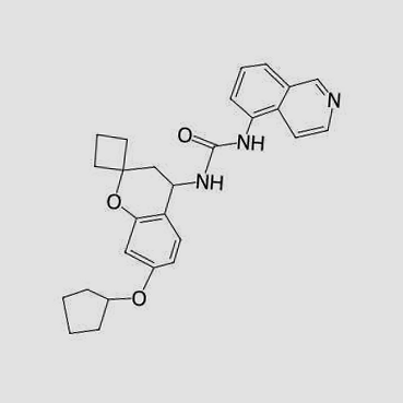 O=C(Nc1cccc2cnccc12)NC1CC2(CCC2)Oc2cc(OC3CCCC3)ccc21